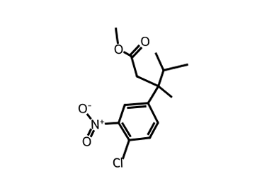 COC(=O)CC(C)(c1ccc(Cl)c([N+](=O)[O-])c1)C(C)C